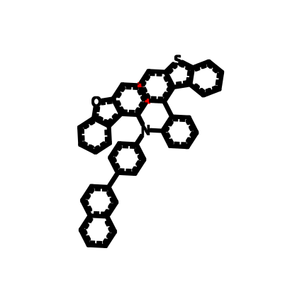 c1ccc(N(c2ccc(-c3ccc4ccccc4c3)cc2)c2cccc3oc4ccccc4c23)c(-c2cccc3sc4ccccc4c23)c1